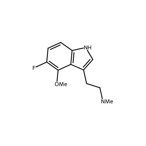 CNCCc1c[nH]c2ccc(F)c(OC)c12